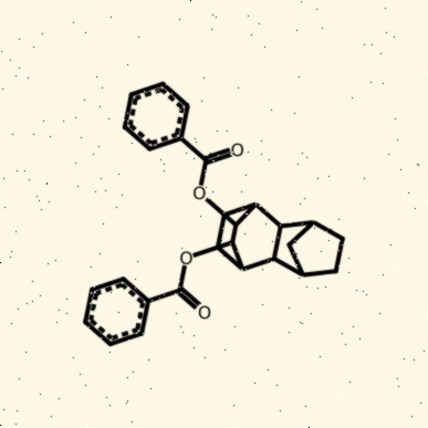 O=C(OC1C2CCC(C1OC(=O)c1ccccc1)C1C3CCC(C3)C21)c1ccccc1